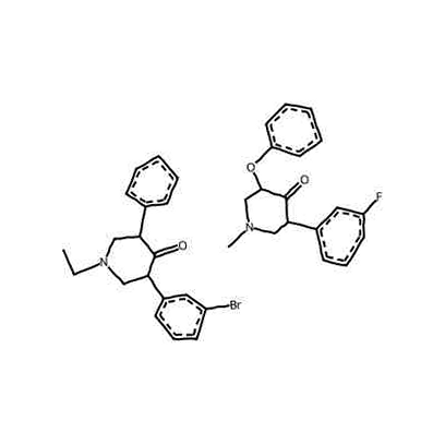 CCN1CC(c2ccccc2)C(=O)C(c2cccc(Br)c2)C1.CN1CC(Oc2ccccc2)C(=O)C(c2cccc(F)c2)C1